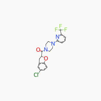 O=C(C1Cc2cc(Cl)ccc2O1)N1CCN(c2cccc(C(F)(F)F)n2)CC1